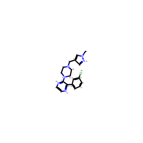 Cn1cc(CN2CCN(c3nccnc3-c3cccc(Cl)c3)CC2)cn1